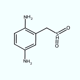 Nc1ccc(N)c(C[SH](=O)=O)c1